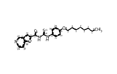 CCCCCCCCOc1ccc(NC(=S)NC(=O)c2cc3cnccc3o2)cc1